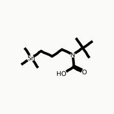 CC(C)(C)N(CC[CH2][Sn]([CH3])([CH3])[CH3])C(=O)O